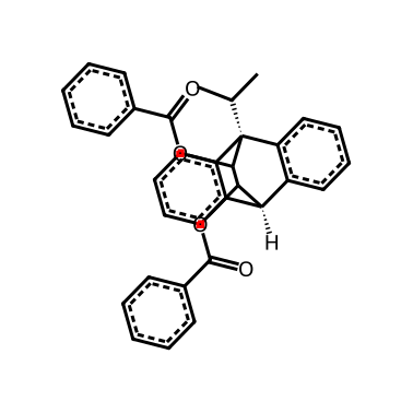 CC(C)[C@]12c3ccccc3[C@H](c3ccccc31)C(OC(=O)c1ccccc1)C2OC(=O)c1ccccc1